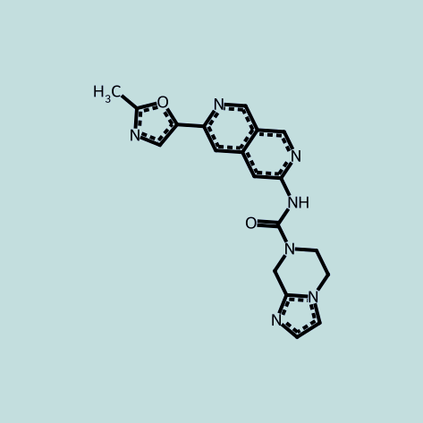 Cc1ncc(-c2cc3cc(NC(=O)N4CCn5ccnc5C4)ncc3cn2)o1